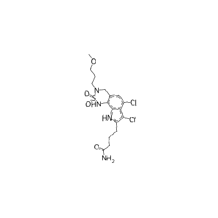 COCCCN1Cc2cc(Cl)c3c(Cl)c(CCCC(N)=O)[nH]c3c2NS1(=O)=O